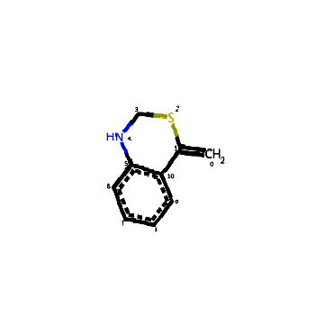 C=C1SCNc2ccccc21